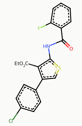 CCOC(=O)c1c(-c2ccc(Cl)cc2)csc1NC(=O)c1ccccc1F